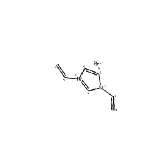 C=Cn1cc[n+](C=C)c1.[Br-]